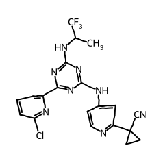 CC(Nc1nc(Nc2ccnc(C3(C#N)CC3)c2)nc(-c2cccc(Cl)n2)n1)C(F)(F)F